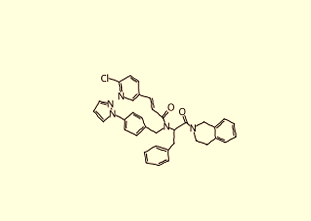 O=C(C(Cc1ccccc1)N(Cc1ccc(-n2cccn2)cc1)C(=O)C=Cc1ccc(Cl)nc1)N1CCc2ccccc2C1